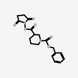 O=C(ON1C(=O)CCC1=O)C1CCCN(C(=O)OCc2ccccc2)C1